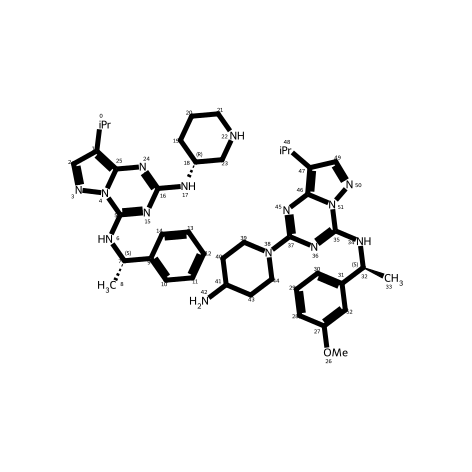 CC(C)c1cnn2c(N[C@@H](C)c3ccccc3)nc(N[C@@H]3CCCNC3)nc12.COc1cccc([C@H](C)Nc2nc(N3CCC(N)CC3)nc3c(C(C)C)cnn23)c1